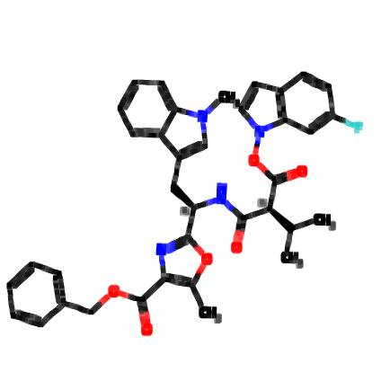 Cc1oc([C@@H](Cc2cn(C)c3ccccc23)NC(=O)[C@@H](C(=O)On2ccc3ccc(F)cc32)C(C)C)nc1C(=O)OCc1ccccc1